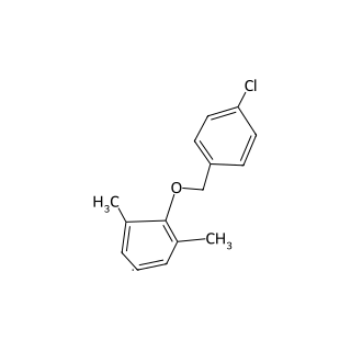 Cc1c[c]cc(C)c1OCc1ccc(Cl)cc1